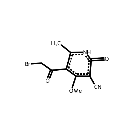 COc1c(C(=O)CBr)c(C)[nH]c(=O)c1C#N